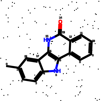 Cc1ccc2[nH]c3c4ccccc4c(=O)[nH]c3c2c1